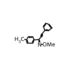 CON=C(C#Cc1ccccc1)c1ccc(C)cc1